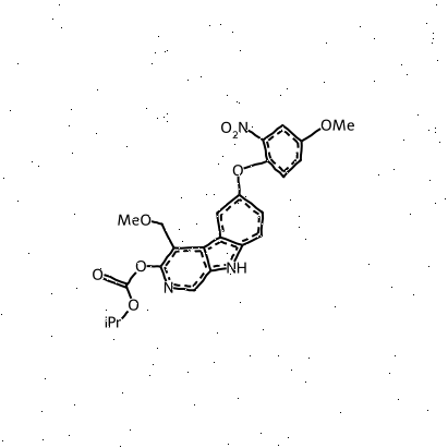 COCc1c(OC(=O)OC(C)C)ncc2[nH]c3ccc(Oc4ccc(OC)cc4[N+](=O)[O-])cc3c12